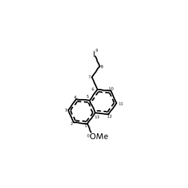 COc1cccc2c(CCI)cccc12